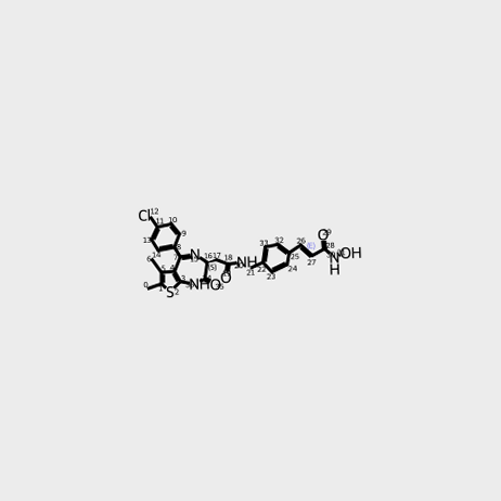 Cc1sc2c(c1C)C(c1ccc(Cl)cc1)=N[C@@H](CC(=O)NCc1ccc(/C=C/C(=O)NO)cc1)C(=O)N2